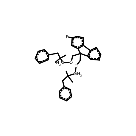 CC(C)(Cc1ccccc1)[SiH2]OCC1(CO[SiH2]C(C)(C)Cc2ccccc2)c2ccccc2-c2ccc(F)cc21